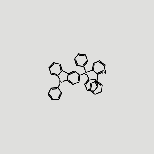 C1=CC(c2ncccc2S(c2ccccc2)(c2ccccc2)c2ccc3c(c2)c2ccccc2n3-c2ccccc2)=CCC1